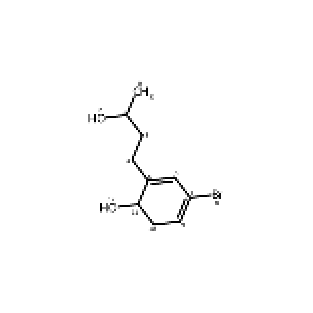 CC(O)CCC1=CC(Br)=CCC1O